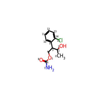 CC(O)C(COC(N)=O)c1ccccc1Cl